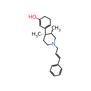 C[C@H]1CN(C/C=C/c2ccccc2)CC[C@@]1(C)C1=CCCC(O)=C1